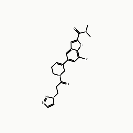 CN(C)C(=O)c1cc2cc(C3=CCCN(C(=O)CCn4ccnn4)C3)cc(Br)c2o1